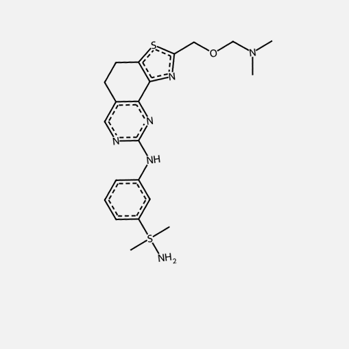 CN(C)COCc1nc2c(s1)CCc1cnc(Nc3cccc(S(C)(C)N)c3)nc1-2